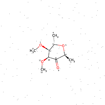 CO[C@H]1[C@H](C)O[C@@H](C)C(=O)[C@H]1OC